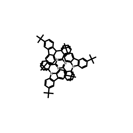 CC(C)(C)c1ccc2c(c1)-c1cc(C(C)(C)C)ccc1C2c1ccccc1-c1nc(-c2ccccc2-n2c3ccc(C(C)(C)C)cc3c3cc(C(C)(C)C)ccc32)nc(-c2ccccc2-n2c3ccc(C(C)(C)C)cc3c3cc(C(C)(C)C)ccc32)n1